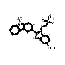 CCn1c2ccccc2c2cc(-c3nc4cc(C(=O)O)ccc4n3CCS(C)(=O)=O)ccc21